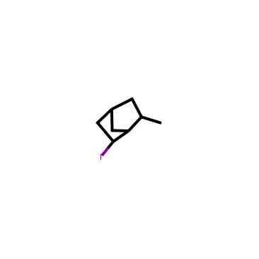 CC1CC2CC(I)C1C2